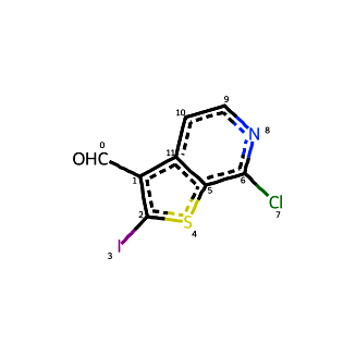 O=Cc1c(I)sc2c(Cl)nccc12